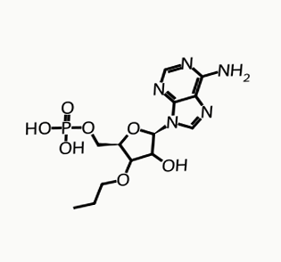 CCCOC1C(O)[C@H](n2cnc3c(N)ncnc32)O[C@@H]1COP(=O)(O)O